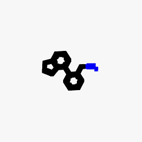 NCc1ccccc1-c1cccc2c1C=CC2